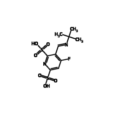 CC(C)(C)/N=C/c1c(F)cc(S(=O)(=O)O)nc1S(=O)(=O)O